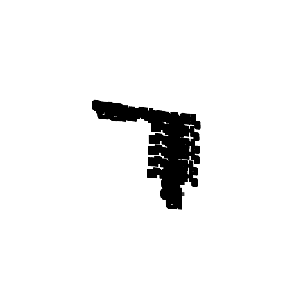 CCCn1cc[n+](C)c1.CCCn1cc[n+](C)c1.CCCn1cc[n+](C)c1.CCCn1cc[n+](C)c1.CCCn1cc[n+](C)c1.CCCn1cc[n+](C)c1.CCCn1cc[n+](C)c1.CCCn1cc[n+](C)c1.N#CB([O-])[O-].N#CB([O-])[O-].N#CB([O-])[O-].N#CB([O-])[O-]